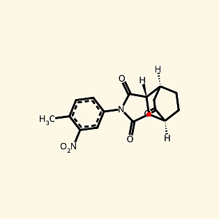 Cc1ccc(N2C(=O)C3[C@@H]4CC[C@@H](CC4=O)[C@H]3C2=O)cc1[N+](=O)[O-]